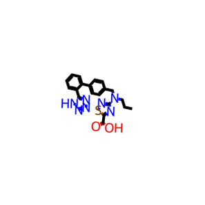 CCCN(Cc1ccc(-c2ccccc2-c2nnn[nH]2)cc1)c1nsc(C(=O)O)n1